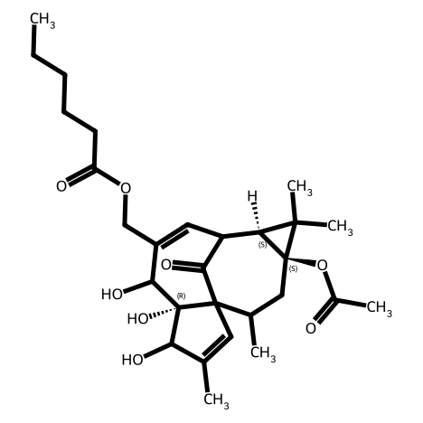 CCCCCC(=O)OCC1=CC2C(=O)C3(C=C(C)C(O)[C@@]3(O)C1O)C(C)C[C@]1(OC(C)=O)[C@@H]2C1(C)C